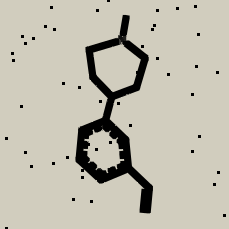 C=Cc1cccc(C2CCN(C)CC2)c1